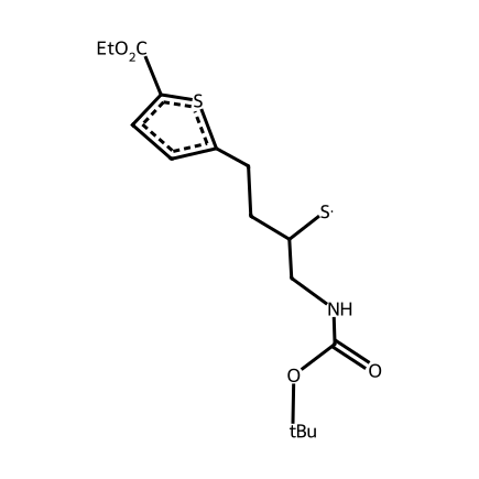 CCOC(=O)c1ccc(CCC([S])CNC(=O)OC(C)(C)C)s1